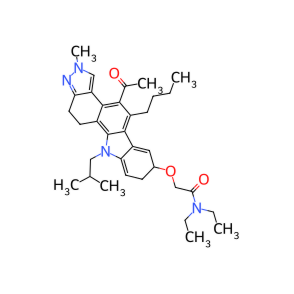 CCCCc1c(C(C)=O)c2c(c3c1c1c(n3CC(C)C)=CCC(OCC(=O)N(CC)CC)C=1)CCc1nn(C)cc1-2